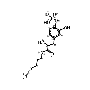 NCCCCCNC(=O)C(N)Cc1ccc(OP(=O)(O)O)c(O)c1